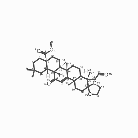 COC(=O)[C@]12CCC(C)(C)C[C@H]1[C@H]1C(=O)C=C3[C@@]4(C)CCC5(OCCO5)[C@@](C)(CC=O)[C@@H]4CC[C@@]3(C)[C@]1(C)CC2